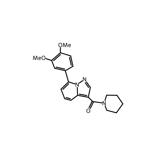 COc1ccc(-c2cccc3c(C(=O)N4CCCCC4)cnn23)cc1OC